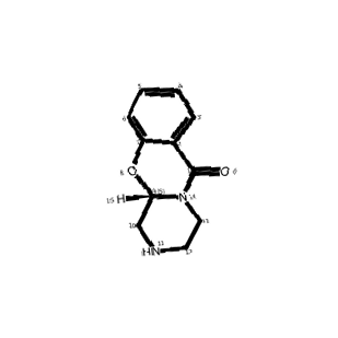 O=C1c2ccccc2O[C@H]2CNCCN12